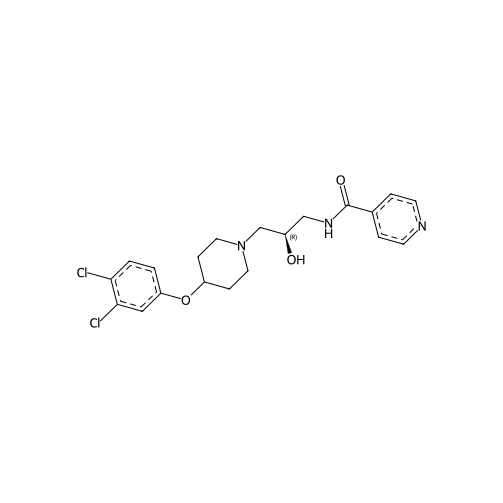 O=C(NC[C@@H](O)CN1CCC(Oc2ccc(Cl)c(Cl)c2)CC1)c1ccncc1